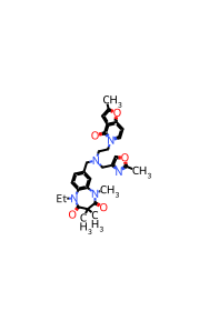 CCN1C(=O)C(C)(C)C(=O)N(C)c2cc(CN(CCn3ccc4oc(C)cc4c3=O)Cc3coc(C)n3)ccc21